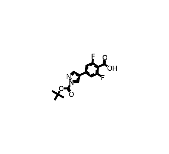 CC(C)(C)OC(=O)n1cc(-c2cc(F)c(C(=O)O)c(F)c2)cn1